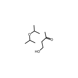 CC(=O)CCO.CC(C)OC(C)C